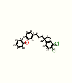 CCC(C)(CCCc1cccc(Oc2ccccc2)c1)c1ccc(Cl)c(Cl)c1